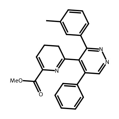 COC(=O)C1=CCCC(c2c(-c3ccccc3)cnnc2-c2cccc(C)c2)=N1